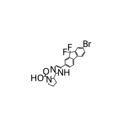 O=C(O)N1CCCC1c1ncc(-c2ccc3c(c2)C(F)(F)c2cc(Br)ccc2-3)[nH]1